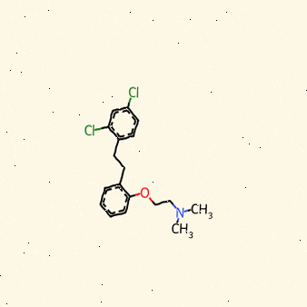 CN(C)CCOc1ccccc1CCc1ccc(Cl)cc1Cl